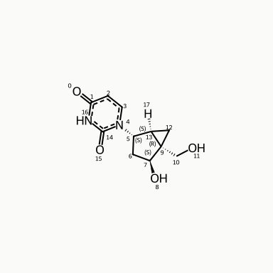 O=c1ccn([C@H]2C[C@H](O)[C@]3(CO)C[C@H]23)c(=O)[nH]1